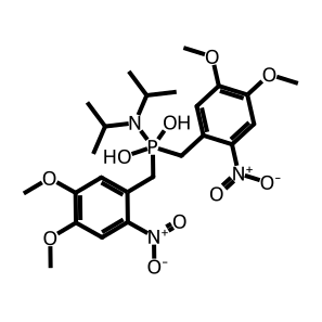 COc1cc(CP(O)(O)(Cc2cc(OC)c(OC)cc2[N+](=O)[O-])N(C(C)C)C(C)C)c([N+](=O)[O-])cc1OC